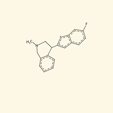 CN1Cc2ccccc2C(c2cc3ccc(F)cc3s2)C1